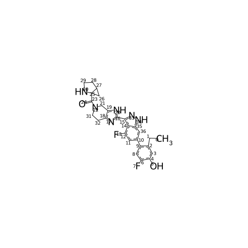 CCc1cc(O)c(F)cc1-c1cc(F)c2c(-c3nc4c([nH]3)CN(C(=O)C35CC3CCN5)CC4)n[nH]c2c1